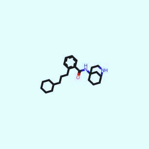 O=C(NC12CCCC(C1)NCC2)c1ccccc1CCCC1CCCCC1